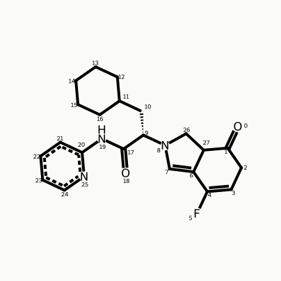 O=C1CC=C(F)C2=CN([C@@H](CC3CCCCC3)C(=O)Nc3ccccn3)CC12